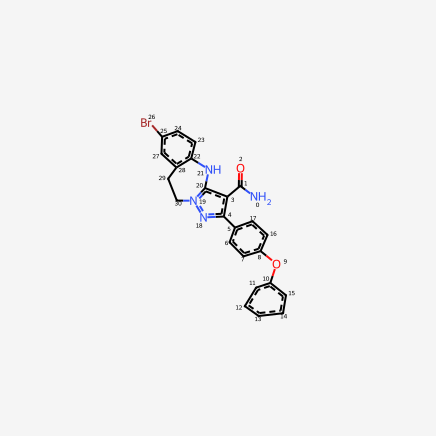 NC(=O)c1c(-c2ccc(Oc3ccccc3)cc2)nn2c1Nc1ccc(Br)cc1CC2